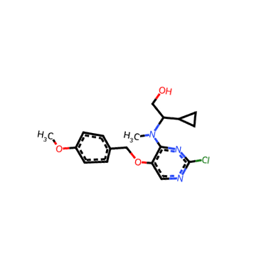 COc1ccc(COc2cnc(Cl)nc2N(C)C(CO)C2CC2)cc1